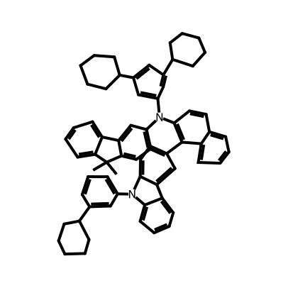 CC1(C)c2ccccc2-c2cc(N(c3cc(C4CCCCC4)cc(C4CCCCC4)c3)c3ccc4ccccc4c3-c3ccc4c(c3)c3ccccc3n4-c3cccc(C4CCCCC4)c3)ccc21